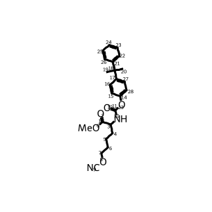 COC(=O)C(CCCCOC#N)NC(=O)Oc1ccc(C(C)(C)c2ccccc2)cc1